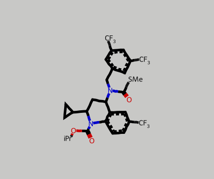 CSC(=O)N(Cc1cc(C(F)(F)F)cc(C(F)(F)F)c1)C1CC(C2CC2)N(C(=O)OC(C)C)c2ccc(C(F)(F)F)cc21